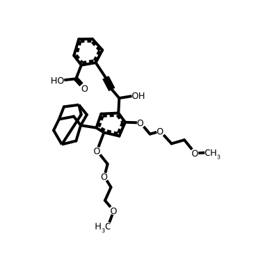 COCCOCOc1cc(OCOCCOC)c(C23CC4CC(CC(C4)C2)C3)cc1C(O)C#Cc1ccccc1C(=O)O